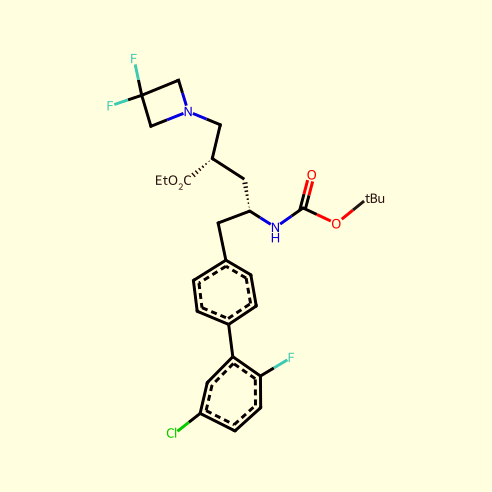 CCOC(=O)[C@@H](C[C@@H](Cc1ccc(-c2cc(Cl)ccc2F)cc1)NC(=O)OC(C)(C)C)CN1CC(F)(F)C1